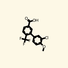 COc1ccc(-c2cc(C(=O)O)ccc2C(F)(F)F)cc1Cl